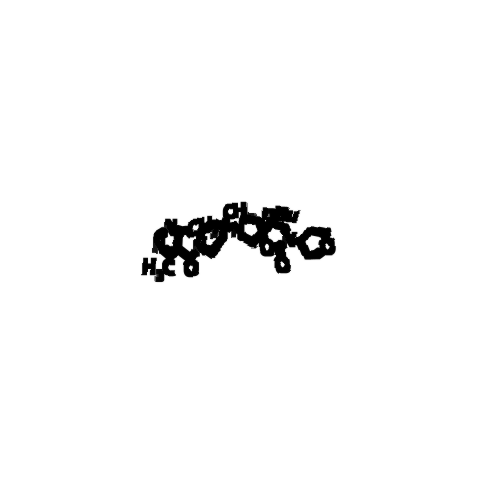 CCCC[C@H]1CN(C2CCOCC2)C(=O)OC12CCN(C1(C)CCN(C(=O)c3c(C)ncnc3C)CC1)CC2